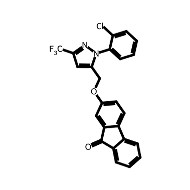 O=C1c2ccccc2-c2ccc(OCc3cc(C(F)(F)F)nn3-c3ccccc3Cl)cc21